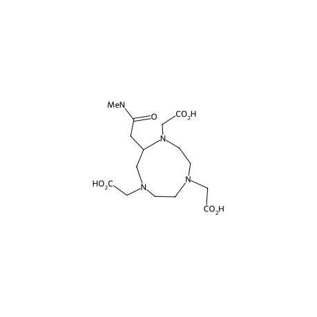 CNC(=O)CC1CN(CC(=O)O)CCN(CC(=O)O)CCN1CC(=O)O